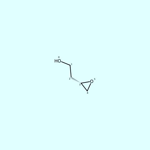 OCC[C@H]1CO1